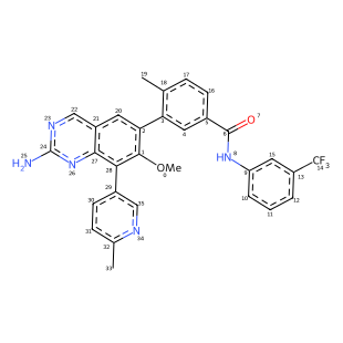 COc1c(-c2cc(C(=O)Nc3cccc(C(F)(F)F)c3)ccc2C)cc2cnc(N)nc2c1-c1ccc(C)nc1